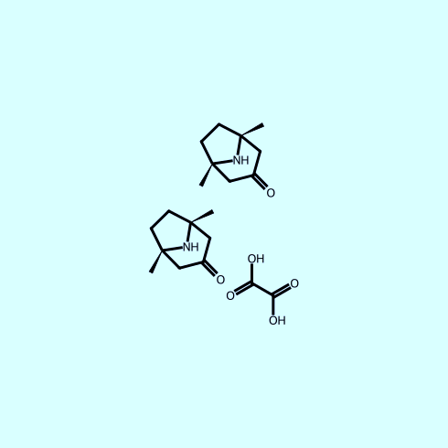 C[C@]12CC[C@](C)(CC(=O)C1)N2.C[C@]12CC[C@](C)(CC(=O)C1)N2.O=C(O)C(=O)O